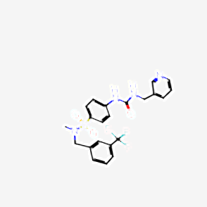 CN(Cc1cccc(C(F)(F)F)c1)S(=O)(=O)c1ccc(NC(=O)NCc2cccnc2)cc1